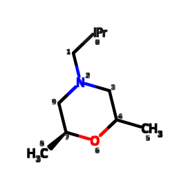 CC(C)CN1CC(C)O[C@@H](C)C1